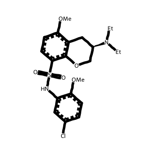 CCN(CC)[C@H]1COc2c(S(=O)(=O)Nc3cc(Cl)ccc3OC)ccc(OC)c2C1